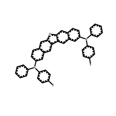 Fc1ccc(N(c2ccccc2)c2ccc3cc4oc5cc6ccc(N(c7ccccc7)c7ccc(F)cc7)cc6cc5c4cc3c2)cc1